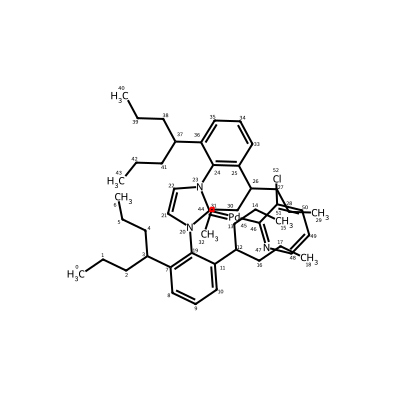 CCCC(CCC)c1cccc(C(CCC)CCC)c1-n1ccn(-c2c(C(CCC)CCC)cccc2C(CCC)CCC)[c]1=[Pd][c]1ncccc1Cl